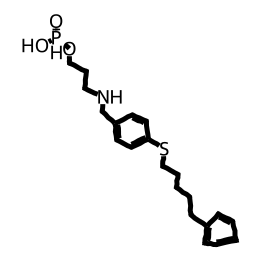 O=[PH](O)OCCCNCc1ccc(SCCCCCc2ccccc2)cc1